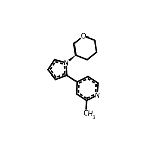 Cc1cc(-c2cccn2[C@@H]2CCCOC2)ccn1